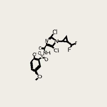 COc1ccc(Cl)c(S(=O)(=O)NC(=O)c2nc(Cl)n(C3CC3C(F)F)c2Cl)c1